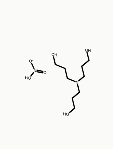 O=[N+]([O-])O.OCCCN(CCCO)CCCO